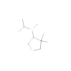 CC(C)N(C)C1CNCC1(C)O